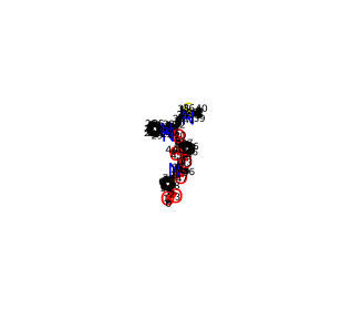 COC(=O)c1cccc(-c2nc(COc3cccc(COc4nn(-c5ccccc5)cc4C=Cc4csc(C(C)C)n4)c3OC)c(C)o2)c1